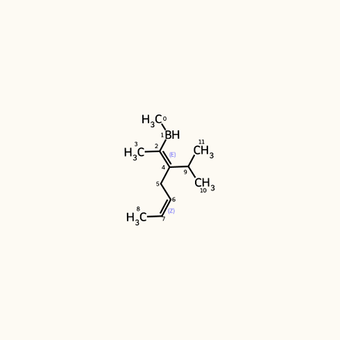 CB/C(C)=C(/C/C=C\C)C(C)C